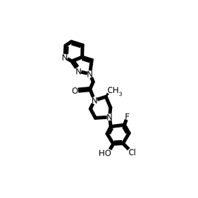 C[C@H]1CN(c2cc(O)c(Cl)cc2F)CCN1C(=O)Cn1cc2cccnc2n1